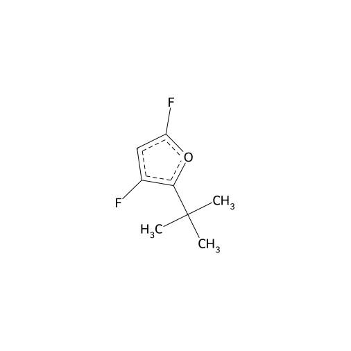 CC(C)(C)c1oc(F)cc1F